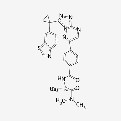 CN(C)C(=O)[C@@H](NC(=O)c1ccc(-c2cnc3nnc(C4(c5ccc6ncsc6c5)CC4)n3n2)cc1)C(C)(C)C